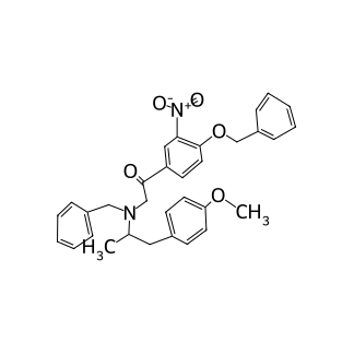 COc1ccc(CC(C)N(CC(=O)c2ccc(OCc3ccccc3)c([N+](=O)[O-])c2)Cc2ccccc2)cc1